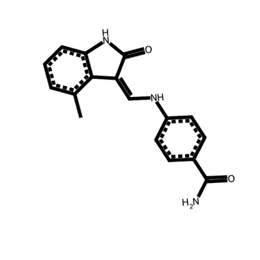 Cc1cccc2c1/C(=C/Nc1ccc(C(N)=O)cc1)C(=O)N2